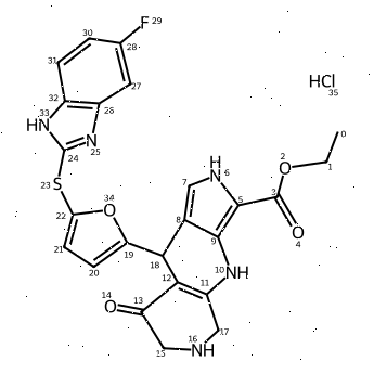 CCOC(=O)c1[nH]cc2c1NC1=C(C(=O)CNC1)C2c1ccc(Sc2nc3cc(F)ccc3[nH]2)o1.Cl